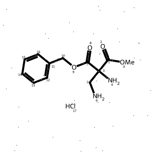 COC(=O)C(N)(CN)C(=O)OCc1ccccc1.Cl